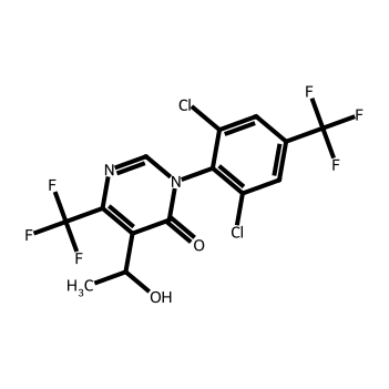 CC(O)c1c(C(F)(F)F)ncn(-c2c(Cl)cc(C(F)(F)F)cc2Cl)c1=O